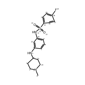 CN1CCC(Nc2cccc(NS(=O)(=O)c3ccc(F)cc3)c2)CC1